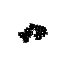 C=C(/N=C(\N=C(/N)c1cccc(-c2cccc(-c3ccc4c(c3)C(C)(C)c3c-4c4ccccc4c4ccccc34)c2)c1)c1ccccc1)c1ccccc1